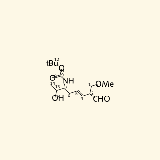 COCC(C=O)/C=C/CC(NC(=O)OC(C)(C)C)C(C)O